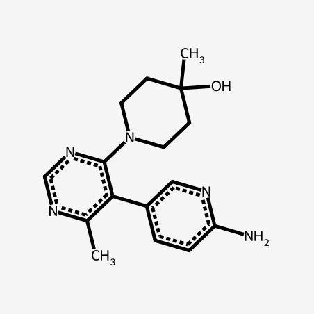 Cc1ncnc(N2CCC(C)(O)CC2)c1-c1ccc(N)nc1